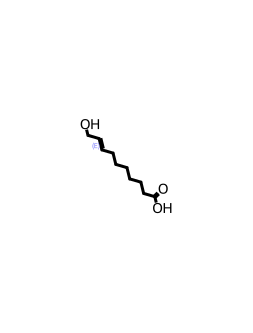 O=C(O)CCCCCC/C=C/CO